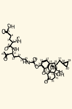 CNC(CCC(=O)O)C(=O)NC(CCCCNC(=O)Oc1ccc2c3c1OC1C(=O)CC[C@@]4(O)[C@@H](C2)N(CC2CC2)CC[C@]314)C(C)=O